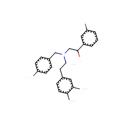 COc1ccc(CN(CC(O)c2cccc(Cl)c2)[C@H](C)Cc2ccc(OC)c(OC)c2)cc1